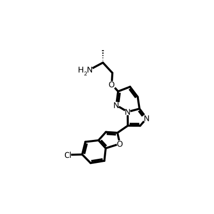 C[C@@H](N)COc1ccc2ncc(-c3cc4cc(Cl)ccc4o3)n2n1